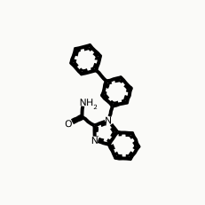 NC(=O)c1nc2ccccc2n1-c1cccc(-c2ccccc2)c1